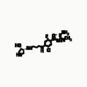 C/N=C(/N[S+]([O-])c1cc(Cl)c(NCCCCN[C@@H]2CNC[C@@H]2O)cc1F)SN